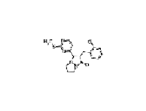 CSc1nccc(C2C(Cc3ccccc3Cl)C(=O)N3CCCN23)n1